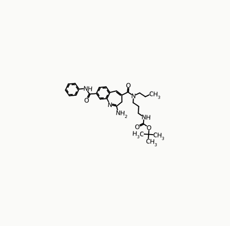 CCCN(CCCNC(=O)OC(C)(C)C)C(=O)C1=Cc2ccc(C(=O)Nc3ccccc3)cc2N=C(N)C1